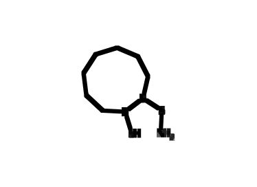 NSB1CCCCCCCB1S